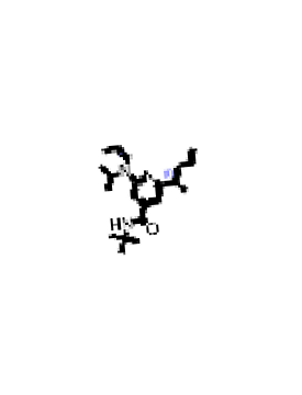 C=C/C=C(\C)c1cc(C(=O)NC(C)(C)C)cc(N(/C=C\C)C(=C)C)n1